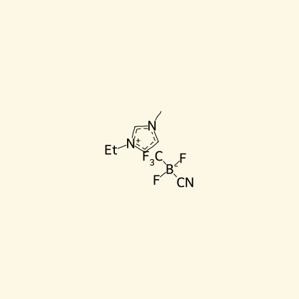 CC[n+]1ccn(C)c1.N#C[B-](F)(F)C(F)(F)F